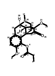 CCC(=O)Oc1c(OC)ccc2c1[C@]13CCN(C)[C@H](C2)[C@@H]1C=C(OC)C(=O)C3